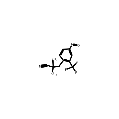 CC(C)(C#N)Cc1ccc(N=O)cc1C(F)(F)F